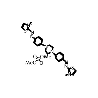 COS(=O)(=O)OC.C[n+]1ccsc1/N=N/c1ccc(N2CCN(c3ccc(/N=N/c4scc[n+]4C)cc3)CC2)cc1